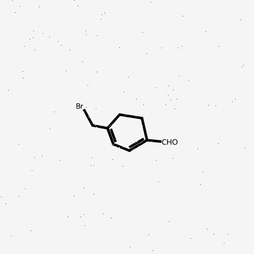 O=CC1=CC=C(CBr)CC1